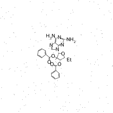 CC[C@H]1O[C@@H](n2cnc3c(N)nc(N)nc32)C(C)(OC(=O)c2ccccc2)[C@H]1OC(=O)c1ccccc1